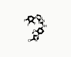 COc1cc(Nc2nc3n(n2)CCN3c2ccc(F)c(F)c2F)ccc1-n1cnc(Cl)c1